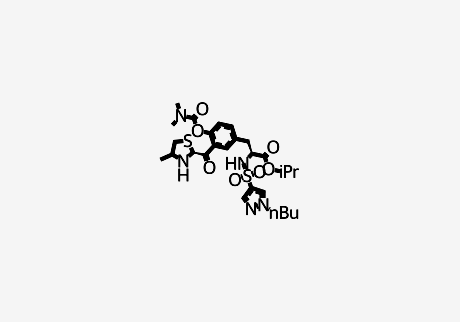 CCCCn1cc(S(=O)(=O)N[C@@H](Cc2ccc(OC(=O)N(C)C)c(C(=O)[C@H]3NC(C)CS3)c2)C(=O)OC(C)C)cn1